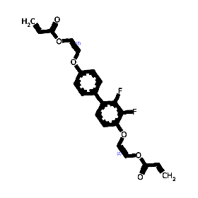 C=CC(=O)O/C=C\Oc1ccc(-c2ccc(O/C=C\OC(=O)C=C)c(F)c2F)cc1